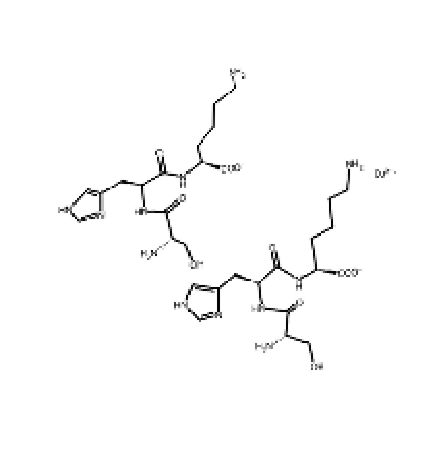 NCCCC[C@H](NC(=O)[C@H](Cc1c[nH]cn1)NC(=O)[C@@H](N)CO)C(=O)[O-].NCCCC[C@H](NC(=O)[C@H](Cc1c[nH]cn1)NC(=O)[C@@H](N)CO)C(=O)[O-].[Cu+2]